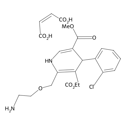 CCOC(=O)C1=C(COCCN)NC=C(C(=O)OC)C1c1ccccc1Cl.O=C(O)/C=C\C(=O)O